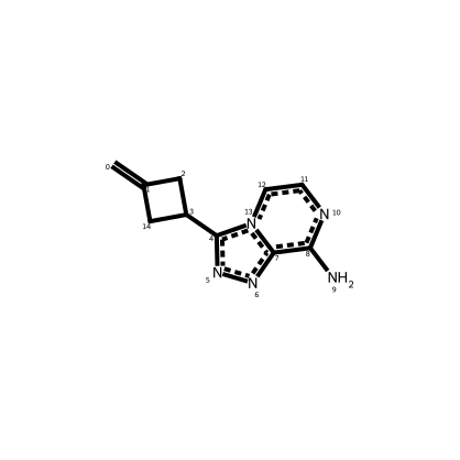 C=C1CC(c2nnc3c(N)nccn23)C1